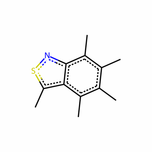 Cc1c(C)c(C)c2c(C)snc2c1C